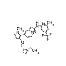 CCN1CC[C@@H]1COc1cnn(C)c1-c1ccn2nc(Nc3cc(C(F)(F)F)nc(C)n3)cc2c1